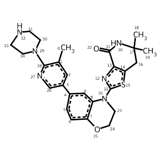 Cc1cc(-c2ccc3c(c2)N(c2nc4c(s2)CC(C)(C)NC4=O)CCO3)cnc1N1CCNCC1